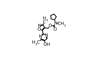 Cc1nc(-c2onc(C)c2COC(=O)N(C)C2CCCC2)ncc1O